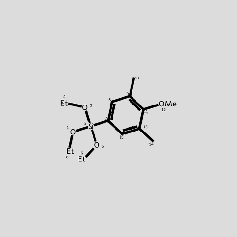 CCO[Si](OCC)(OCC)c1cc(C)c(OC)c(C)c1